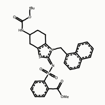 COC(=O)c1ccccc1S(=O)(=O)N=c1sc2c(n1Cc1cccc3ccccc13)CCC(NC(=O)OC(C)(C)C)C2